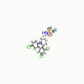 O=S(=O)(NCC[C@@H]1CC[C@@H](c2ccc(Cl)cc2Cl)N(c2ccc(Cl)cc2)C1)C(F)(F)F